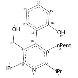 CCCCCc1c(C(C)C)nc(C(C)C)c(CO)c1-c1ccccc1O